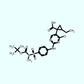 CCC1CC1(C(=O)O)c1cnc(Nc2ccc(S(=O)(=O)N(C)C(=O)OC(C)(C)C)cc2)nc1Cl